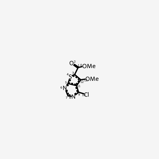 COC(=O)c1sc2ncnc(Cl)c2c1OC